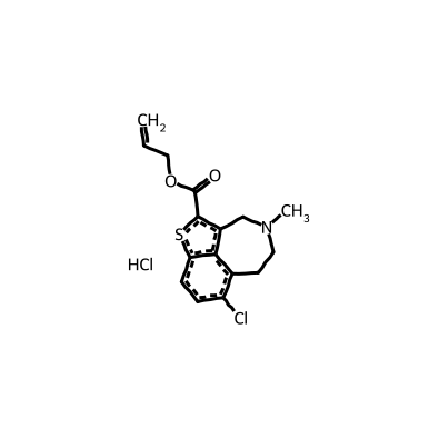 C=CCOC(=O)c1sc2ccc(Cl)c3c2c1CN(C)CC3.Cl